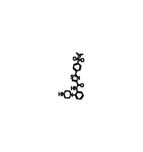 CN(C)S(=O)(=O)c1ccc(-c2nc(C(=O)Nc3ccccc3N3CCNCC3)cs2)cc1